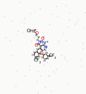 Cn1c(=O)n(CCCOC=O)c(=O)c2c(Cc3ccc(C(F)(F)F)cc3)c(Oc3cccc(C(F)(F)F)c3)cnc21